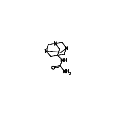 NC(=O)NC12CN3CN(CN(C3)C1)C2